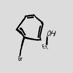 Brc1ccccc1.CCO